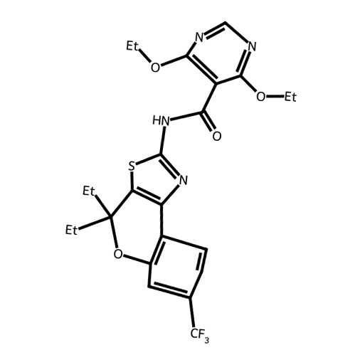 CCOc1ncnc(OCC)c1C(=O)Nc1nc2c(s1)C(CC)(CC)Oc1cc(C(F)(F)F)ccc1-2